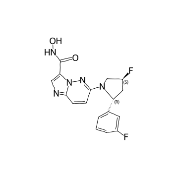 O=C(NO)c1cnc2ccc(N3C[C@@H](F)C[C@@H]3c3cccc(F)c3)nn12